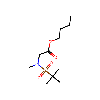 CCCCOC(=O)CN(C)S(=O)(=O)C(C)(C)C